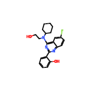 OCCN(c1nc(-c2ccccc2O)nc2ccc(F)cc12)C1CCCCC1